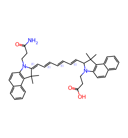 CC1(C)\C(=C/C=C/C=C/C=C/C2N(CCC(=O)O)c3ccc4ccccc4c3C2(C)C)N(CCC(N)=O)c2ccc3ccccc3c21